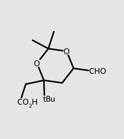 CC1(C)OC(C=O)CC(CC(=O)O)(C(C)(C)C)O1